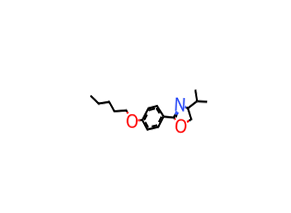 CCCCCOc1ccc(C2=NC(C(C)C)CO2)cc1